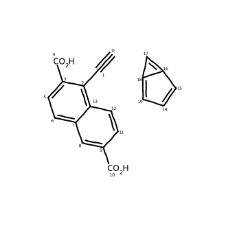 C#Cc1c(C(=O)O)ccc2cc(C(=O)O)ccc12.c1cc2cc-2c1